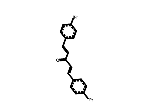 CC(C)c1ccc(C=CC(=O)C=Cc2ccc(C(C)C)cc2)cc1